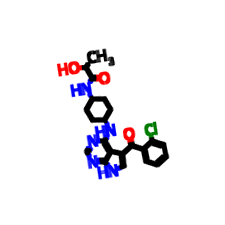 CC(O)C(=O)N[C@H]1CC[C@@H](Nc2ncnc3[nH]cc(C(=O)c4ccccc4Cl)c23)CC1